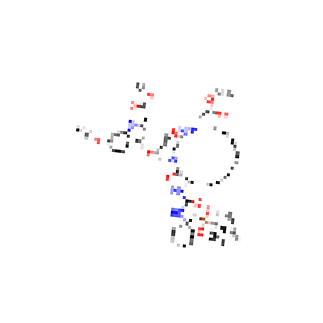 COC(=O)Cc1cc(O[C@@H]2C[C@H]3C(=O)N[C@H](CC(=O)OC)CCC=CCCCCC[C@H](NC(=O)NC4(CS(=O)(=O)C(C)(C)C)CCCCC4)C(=O)N3C2)c2ccc(OC)cc2n1